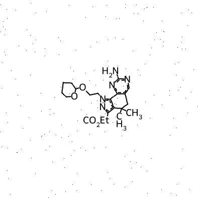 CCOC(=O)c1nn(CCOC2CCCCO2)c2c1C(C)(C)Cc1cnc(N)nc1-2